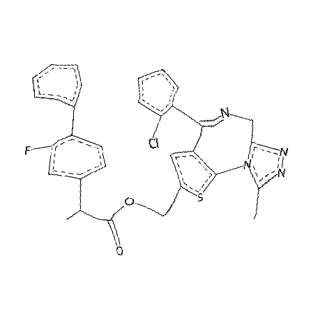 Cc1nnc2n1-c1sc(COC(=O)C(C)c3ccc(-c4ccccc4)c(F)c3)cc1C(c1ccccc1Cl)=NC2